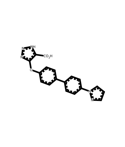 O=C(O)c1[nH]nnc1Oc1ccc(-c2ccc(-n3cccn3)cc2)cc1